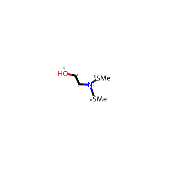 CSN(CCO)SC